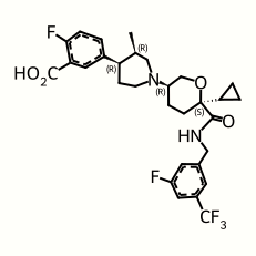 C[C@H]1CN([C@@H]2CC[C@@](C(=O)NCc3cc(F)cc(C(F)(F)F)c3)(C3CC3)OC2)CC[C@H]1c1ccc(F)c(C(=O)O)c1